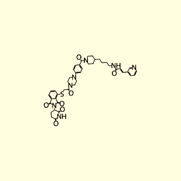 O=C(/C=C/c1cccnc1)NCCCCC1CCN(C(=O)c2ccc(N3CCN(C(=O)CSc4cccc5c4C(=O)N(C4CCC(=O)NC4=O)C5=O)CC3)cc2)CC1